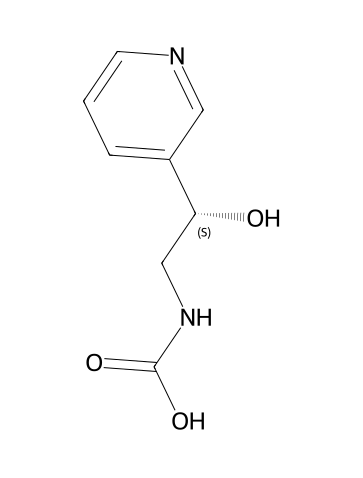 O=C(O)NC[C@@H](O)c1cccnc1